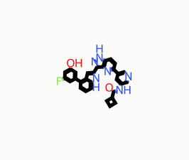 O=C(Nc1cncc(-c2ccc3[nH]nc(-c4cc5c(-c6cc(O)cc(F)c6)cccc5[nH]4)c3n2)c1)C1CCC1